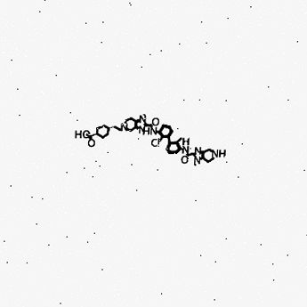 Cc1c(NC(=O)c2nc3c(n2C)CCNC3)cccc1-c1cccc(NC(=O)c2nc3c(n2C)CCN(CC[C@H]2CC[C@H](C(=O)O)CC2)C3)c1Cl